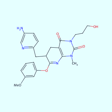 COc1cccc(OC2=Nc3c(c(=O)n(CCCO)c(=O)n3C)CC2Cc2ccc(N)cn2)c1